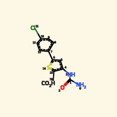 NC(=O)Nc1cc(-c2ccc(Cl)cc2)sc1C(=O)O